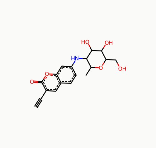 C#Cc1cc2ccc(NC3C(C)OC(CO)C(O)C3O)cc2oc1=O